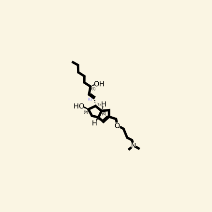 CCCCC[C@H](O)/C=C/[C@@H]1[C@H]2CC(COCCCN(C)C)=C[C@H]2C[C@H]1O